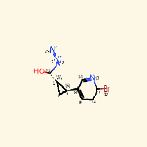 [N-]=[N+]=NC(O)[C@H]1C[C@@H]1C1=CCC(Br)N=C1